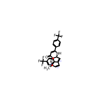 CC1=N/N2C(=O)C=C(c3ccc(C(F)(F)F)cc3)NC2/C=C(c2ccc(C(F)(F)F)cc2)/C=C\1